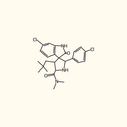 CN(C)C(=O)C1NC(c2ccc(Cl)cc2)C2(C(=O)Nc3cc(Cl)ccc32)C1CC(C)(C)C